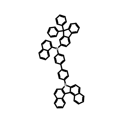 c1ccc(C2(c3ccccc3)c3ccccc3-c3ccc(N(c4ccc(-c5ccc(-n6c7ccc8ccccc8c7c7c8ccccc8ccc76)cc5)cc4)c4cccc5ccccc45)cc32)cc1